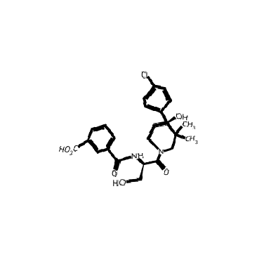 CC1(C)CN(C(=O)[C@@H](CO)NC(=O)c2cccc(C(=O)O)c2)CC[C@]1(O)c1ccc(Cl)cc1